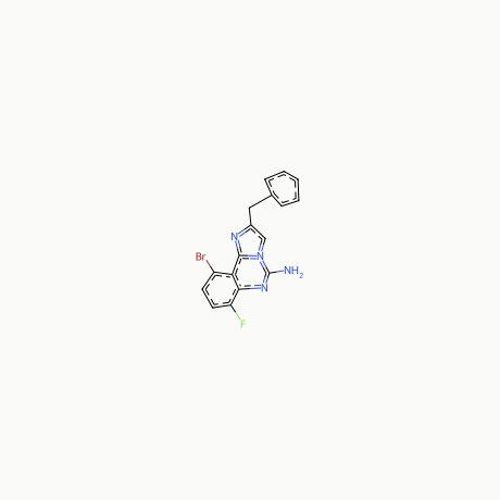 Nc1nc2c(F)ccc(Br)c2c2nc(Cc3ccccc3)cn12